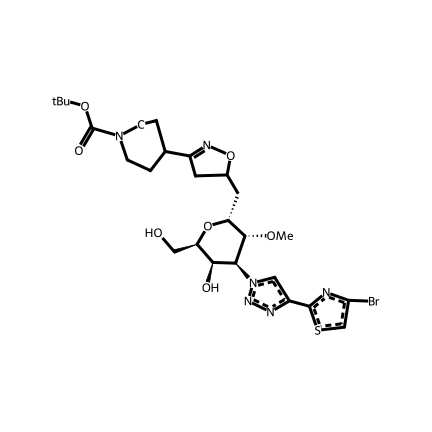 CO[C@@H]1[C@@H](n2cc(-c3nc(Br)cs3)nn2)[C@@H](O)[C@@H](CO)O[C@@H]1CC1CC(C2CCN(C(=O)OC(C)(C)C)CC2)=NO1